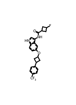 O=C(Nc1c[nH]c2ccc(OC3CC(c4ccc(C(F)(F)F)cc4)C3)cc12)C1CC(F)C1